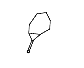 O=C1C2CCCCCC12